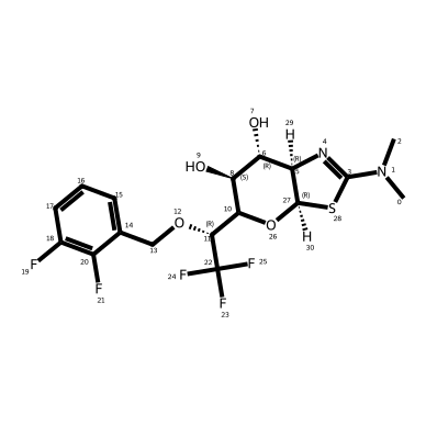 CN(C)C1=N[C@@H]2[C@@H](O)[C@H](O)C([C@@H](OCc3cccc(F)c3F)C(F)(F)F)O[C@@H]2S1